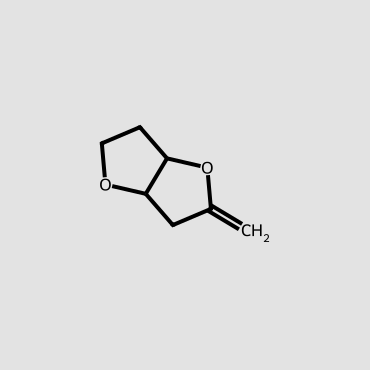 C=C1CC2OCCC2O1